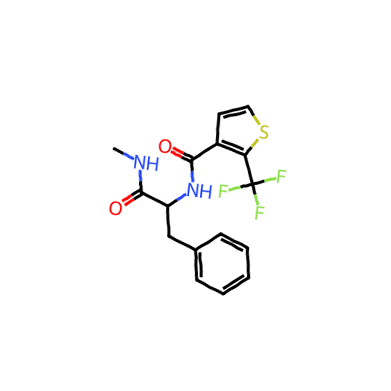 CNC(=O)C(Cc1ccccc1)NC(=O)c1ccsc1C(F)(F)F